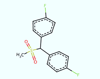 CS(=O)(=O)C(c1ccc(F)cc1)c1ccc(F)cc1